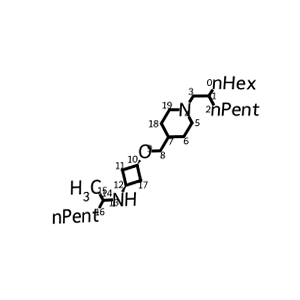 CCCCCCC(CCCCC)CN1CCC(CO[C@H]2C[C@H](NC(C)CCCCC)C2)CC1